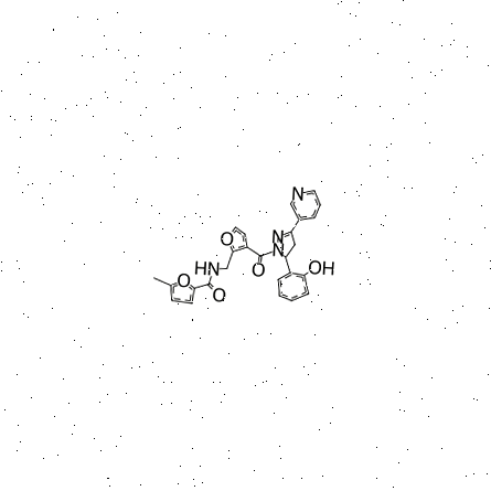 Cc1ccc(C(=O)NCc2occc2C(=O)N2N=C(c3cccnc3)CC2c2ccccc2O)o1